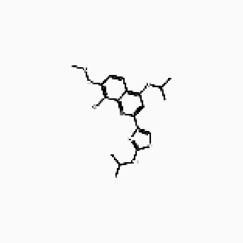 COOc1ccc2c(OC(C)C)cc(-c3coc(NC(C)C)n3)nc2c1Cl